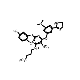 CN(C)c1cc(Oc2nc(Oc3cc(C#N)ccc3Cl)nc(NCCCC(=O)O)c2[N+](=O)[O-])cc(C2=NCCN2)c1